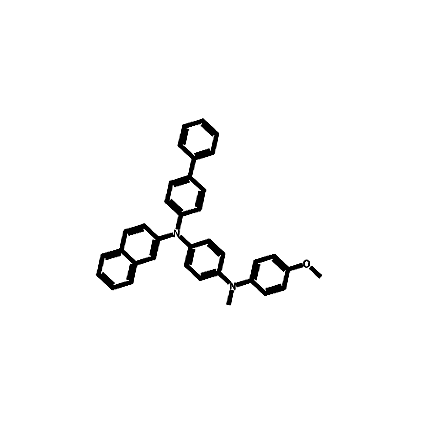 COc1ccc(N(C)c2ccc(N(c3ccc(-c4ccccc4)cc3)c3ccc4ccccc4c3)cc2)cc1